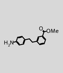 COC(=O)c1cccc(CCc2ccc(N)cc2)c1